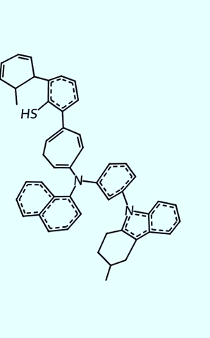 CC1CCc2c(c3ccccc3n2-c2cccc(N(C3=CCC=C(c4cccc(C5C=CC=CC5C)c4S)C=C3)c3cccc4ccccc34)c2)C1